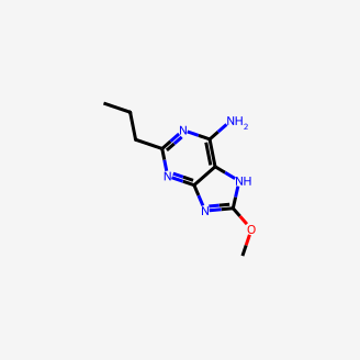 CCCc1nc(N)c2[nH]c(OC)nc2n1